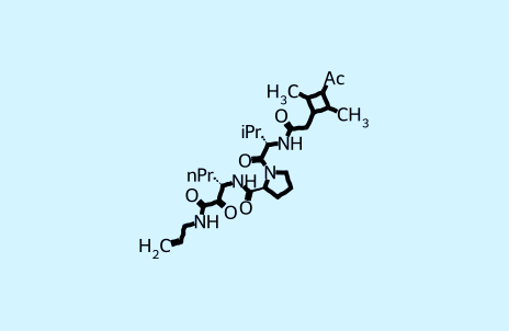 C=CCNC(=O)C(=O)[C@H](CCC)NC(=O)[C@@H]1CCCN1C(=O)[C@@H](NC(=O)CC1C(C)C(C(C)=O)C1C)C(C)C